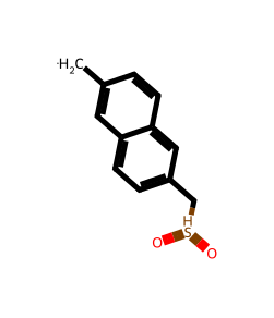 [CH2]c1ccc2cc(C[SH](=O)=O)ccc2c1